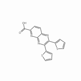 O=C(O)c1ccc2nc(-c3cccs3)c(-c3cccs3)nc2n1